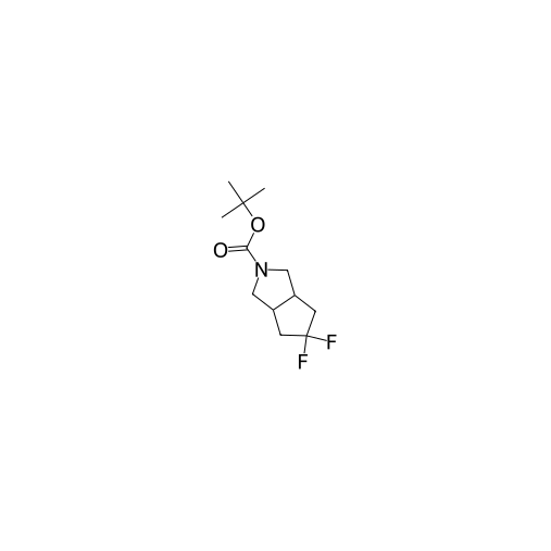 CC(C)(C)OC(=O)N1CC2CC(F)(F)CC2C1